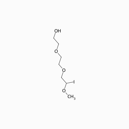 COC(I)COCCOCCO